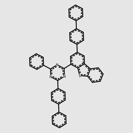 c1ccc(-c2ccc(-c3cc(-c4nc(-c5ccccc5)nc(-c5ccc(-c6ccccc6)cc5)n4)c4sc5ccccc5c4c3)cc2)cc1